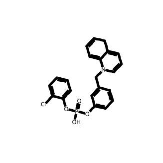 O=P(O)(Oc1cccc(CN2C=CC=C3CC=CC=C32)c1)Oc1ccccc1Cl